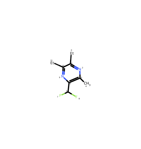 CCc1nc(C)c(C(F)F)nc1CC